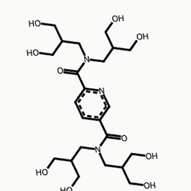 O=C(c1ccc(C(=O)N(CC(CO)CO)CC(CO)CO)nc1)N(CC(CO)CO)CC(CO)CO